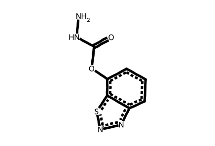 NNC(=O)Oc1cccc2nnsc12